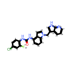 O=C(Nc1ccc(Cl)cc1F)Nc1cccc2c1ccn2Cc1c[nH]c2ncccc12